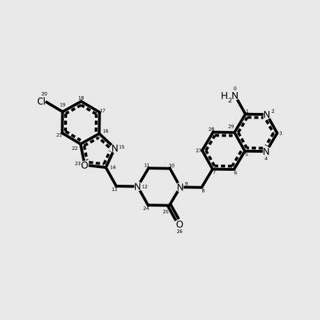 Nc1ncnc2cc(CN3CCN(Cc4nc5ccc(Cl)cc5o4)CC3=O)ccc12